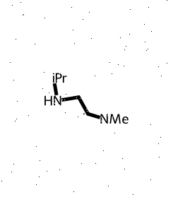 CN[CH]CNC(C)C